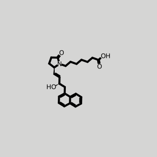 O=C(O)CCCCCCN1C(=O)CC[C@@H]1/C=C/[C@@H](O)Cc1cccc2ccccc12